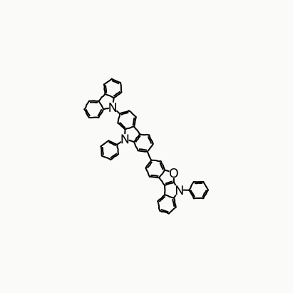 c1ccc(-n2c3cc(-c4ccc5c(c4)oc4c5c5ccccc5n4-c4ccccc4)ccc3c3ccc(-n4c5ccccc5c5ccccc54)cc32)cc1